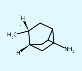 C[C@@H]1CC2CC[C@H]1CC2N